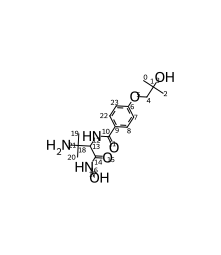 CC(C)(O)COc1ccc(C(=O)NC(C(=O)NO)C(C)(C)N)cc1